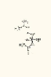 CC(C)CCOP(=O)(O)OC(C)C